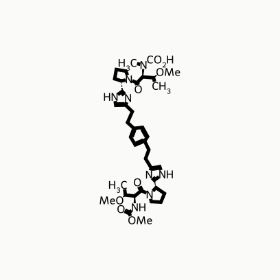 COC(=O)N[C@H](C(=O)N1CCC[C@H]1c1nc(CCc2ccc(CCc3c[nH]c([C@@H]4CCCN4C(=O)[C@H]([C@@H](C)OC)N(C)C(=O)O)n3)cc2)c[nH]1)[C@@H](C)OC